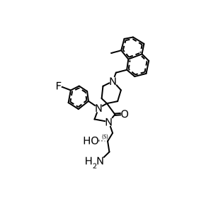 Cc1cccc2cccc(CN3CCC4(CC3)C(=O)N(C[C@@H](O)CN)CN4c3ccc(F)cc3)c12